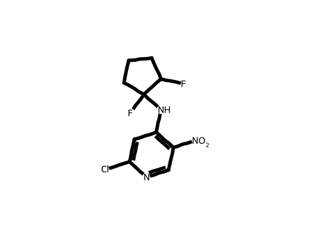 O=[N+]([O-])c1cnc(Cl)cc1NC1(F)CCCC1F